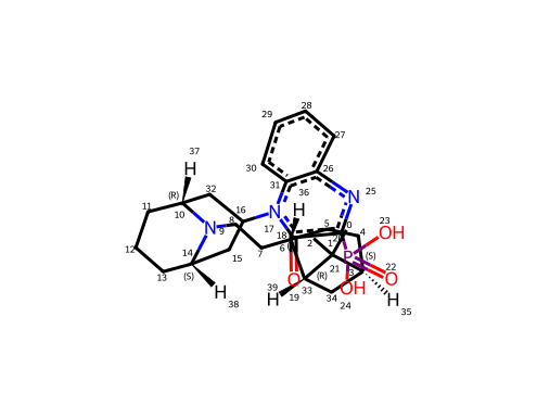 CC1(C)[C@H]2CC[C@@H](CCN3[C@@H]4CCC[C@H]3CC(n3c(=O)c(P(=O)(O)O)nc5ccccc53)C4)[C@H]1C2